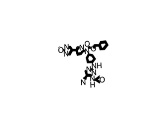 COc1ncc(-c2ccc(N(C(=O)OCc3ccccc3)[C@H]3CC[C@H](Nc4ncc(C#N)c(NC5COC5)n4)CC3)nc2)cn1